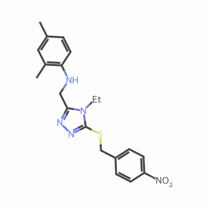 CCn1c(CNc2ccc(C)cc2C)nnc1SCc1ccc([N+](=O)[O-])cc1